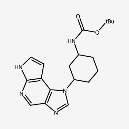 CC(C)(C)OC(=O)NC1CCCC(n2cnc3cnc4[nH]ccc4c32)C1